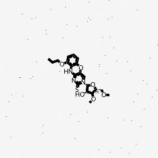 CCCOc1cccc2c1Nc1nc(=S)n([C@@H]3O[C@H](COC)C(OC)[C@@H]3O)cc1O2